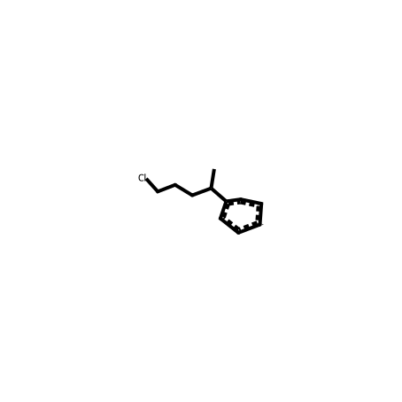 CC(CCCCl)c1cc[c]cc1